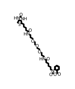 O=C(CCCCCn1c(=O)oc(=O)c2ccccc21)NCCCOCCOCCOCCCNC(=O)CCCCC1SCC2NC(=O)NC21